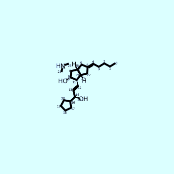 CCCCC=C1C[C@H]2C[C@@H](O)[C@H](C=C[C@@H](O)C3CCCC3)[C@H]2C1.CNC